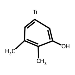 Cc1cccc(O)c1C.[Ti]